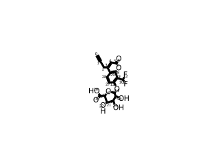 C#CCc1cc(=O)oc2c(C(F)F)c(OC3OC(C(=O)O)C(O)C(O)C3O)ccc12